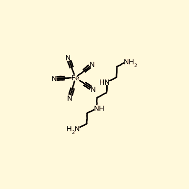 N#[C][Fe]([C]#N)([C]#N)([C]#N)[C]#N.NCCNCCNCCN